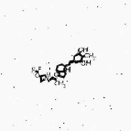 C=C1[C@H](O)CC(=CC=C2CCC[C@]3(C)[C@@H](C(C)CCN4CC(OC(F)F)C4)CC[C@@H]23)C[C@H]1O